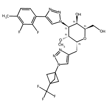 CO[C@@H]1[C@@H](n2cc(-c3ccc(C)c(F)c3F)nn2)[C@@H](O)[C@@H](CO)O[C@@H]1Cc1cn(C23CC(C(F)(F)F)(C2)C3)nn1